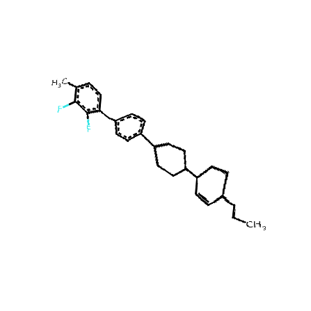 CCCC1C=CC(C2CCC(c3ccc(-c4ccc(C)c(F)c4F)cc3)CC2)CC1